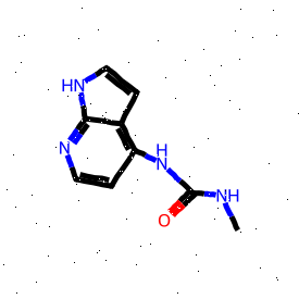 CNC(=O)Nc1ccnc2[nH]ccc12